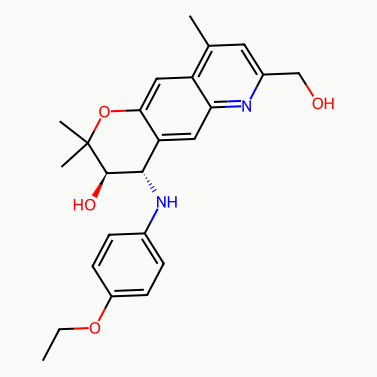 CCOc1ccc(N[C@H]2c3cc4nc(CO)cc(C)c4cc3OC(C)(C)[C@@H]2O)cc1